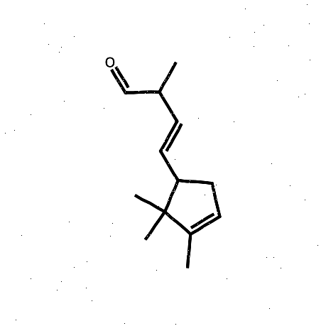 CC1=CCC(C=CC(C)C=O)C1(C)C